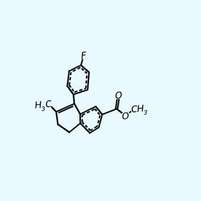 COC(=O)c1ccc2c(c1)C(c1ccc(F)cc1)=C(C)CC2